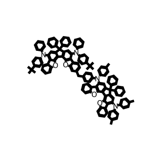 Cc1ccc(N(c2ccc(C)cc2)c2cc3c(c4oc5ccccc5c24)-c2c(cc(N(c4ccc(C)cc4)c4ccc(Cc5ccc6c(c5)oc5c7c(cc(N(c8ccccc8)c8ccc(C(C)(C)C)cc8)c56)C(c5ccccc5)(c5ccccc5)c5cc(N(c6ccccc6)c6ccc(C(C)(C)C)cc6)c6c(oc8ccccc86)c5-7)cc4)c4c2oc2ccccc24)C3(c2ccccc2)c2ccccc2)cc1